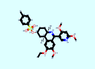 CCOc1cc2c(cc1OC)C(c1cnc(OC)cc1OC)=N[C@@H]1CC[C@@H](OS(=O)(=O)c3ccc(C)cc3)C[C@H]21